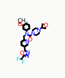 COc1cccc(N(Cc2ccc(-c3nnc(C(F)F)o3)cn2)C(=O)N2CCN(C3COC3)CC2)c1